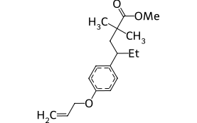 C=CCOc1ccc(C(CC)CC(C)(C)C(=O)OC)cc1